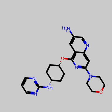 Nc1cnc2cc(N3CCOCC3)nc(O[C@H]3CC[C@@H](Nc4ncccn4)CC3)c2c1